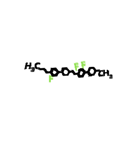 CCCCc1ccc(C2CCC(CCc3ccc(C4CCC(CC)CC4)c(F)c3F)CC2)cc1F